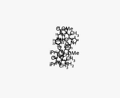 CC[C@H](C)[C@@H]([C@@H](CC(=O)N1CCCC1[C@H](OC)[C@@H](C)C(=O)NC(Cc1ccccc1)C(=O)OC)OC)N(C)C(=O)C(NC(=O)C(C(C)C)N(C)C(=O)C(C)N)C(C)C